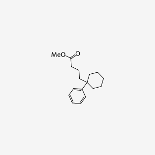 COC(=O)CCCC1(c2ccccc2)CCCCC1